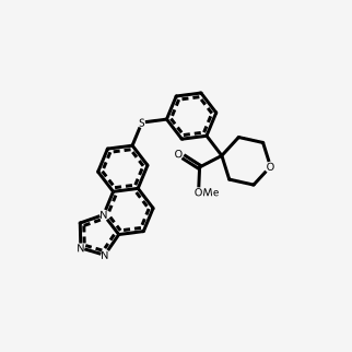 COC(=O)C1(c2cccc(Sc3ccc4c(ccc5nncn54)c3)c2)CCOCC1